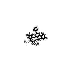 COC(=O)C1=C(CN2CC(F)(F)CC2C(C)CC(=O)O)NC(c2nccs2)=NC1c1ccc(F)cc1Cl